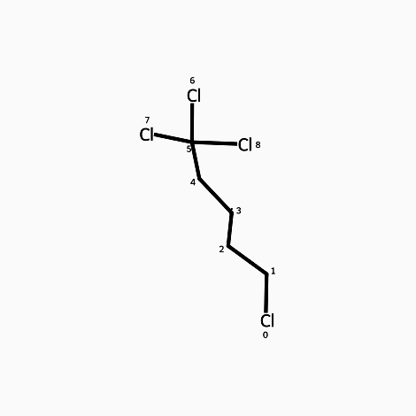 ClCC[CH]CC(Cl)(Cl)Cl